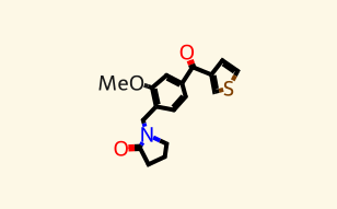 COc1cc(C(=O)c2ccsc2)ccc1CN1CCCC1=O